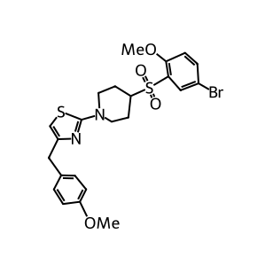 COc1ccc(Cc2csc(N3CCC(S(=O)(=O)c4cc(Br)ccc4OC)CC3)n2)cc1